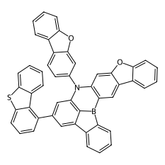 c1ccc2c(c1)B1c3cc4c(cc3N(c3ccc5c(c3)oc3ccccc35)c3cc(-c5cccc6sc7ccccc7c56)cc-2c31)oc1ccccc14